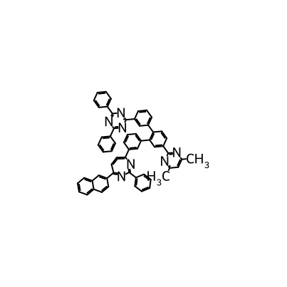 Cc1cc(C)nc(-c2ccc(-c3cccc(-c4nc(-c5ccccc5)nc(-c5ccccc5)n4)c3)c(-c3cccc(C4=C=CC(c5ccc6ccccc6c5)=NC(c5ccccc5)=N4)c3)c2)n1